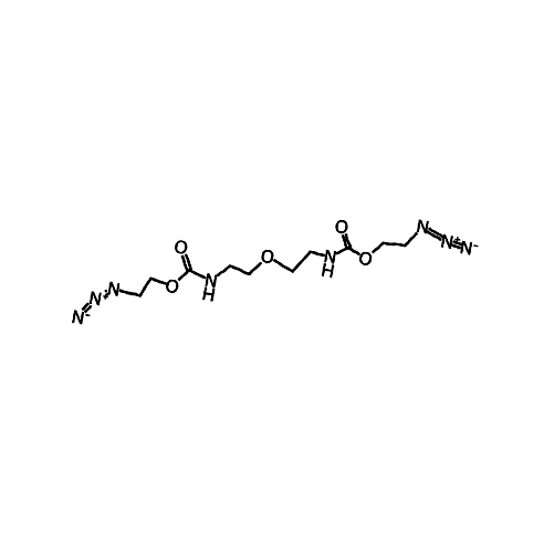 [N-]=[N+]=NCCOC(=O)NCCOCCNC(=O)OCCN=[N+]=[N-]